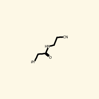 CC(C)CC(=O)NCCC#N